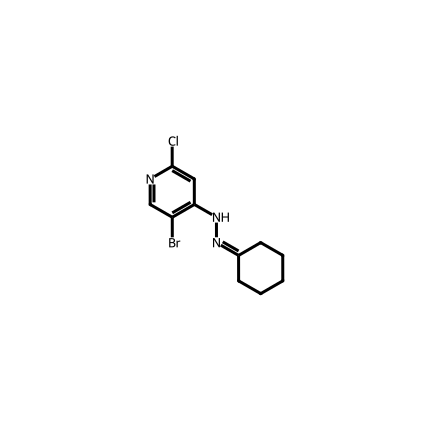 Clc1cc(NN=C2CCCCC2)c(Br)cn1